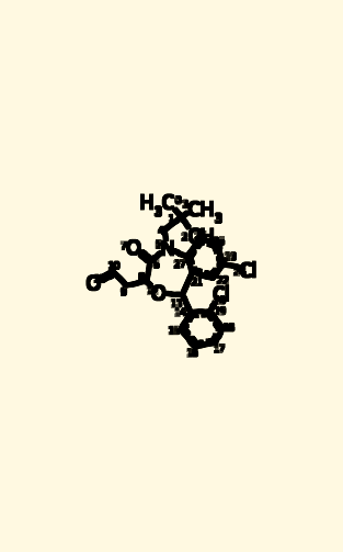 CC(C)(C)CN1C(=O)C(CC=O)OC(c2ccccc2Cl)c2cc(Cl)ccc21